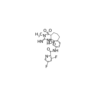 CN1C(=N)N[C@]2(C)c3cc(NC(=O)c4ncc(F)cc4F)ccc3CCCC2S1(=O)=O